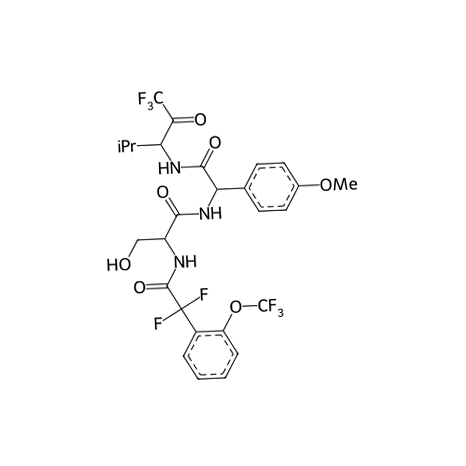 COc1ccc(C(NC(=O)C(CO)NC(=O)C(F)(F)c2ccccc2OC(F)(F)F)C(=O)NC(C(=O)C(F)(F)F)C(C)C)cc1